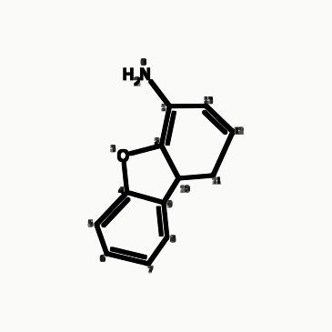 NC1=C2Oc3ccccc3C2CC=C1